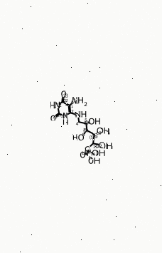 Nc1c(NC[C@H](O)[C@H](O)[C@H](O)C(O)OP(=O)(O)O)[nH]c(=O)[nH]c1=O